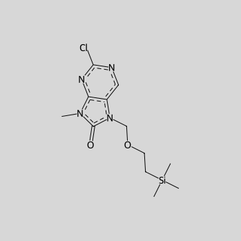 Cn1c(=O)n(COCC[Si](C)(C)C)c2cnc(Cl)nc21